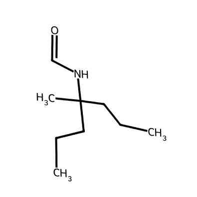 CCCC(C)(CCC)NC=O